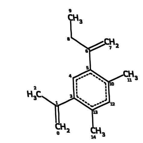 C=C(C)c1cc(C(=C)CC)c(C)cc1C